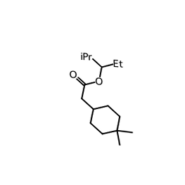 CCC(OC(=O)CC1CCC(C)(C)CC1)C(C)C